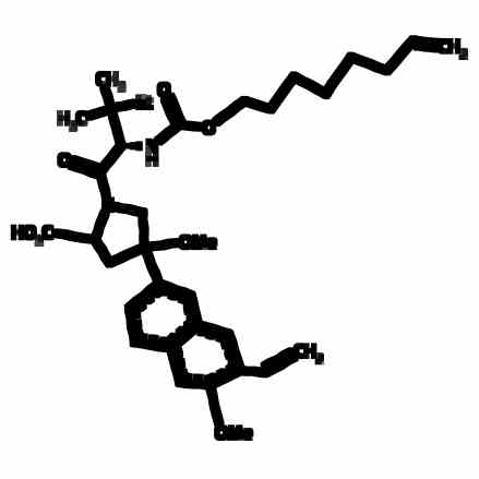 C=CCCCCCCOC(=O)N[C@H](C(=O)N1CC(OC)(c2ccc3cc(OC)c(C=C)cc3c2)CC1C(=O)O)C(C)(C)CC